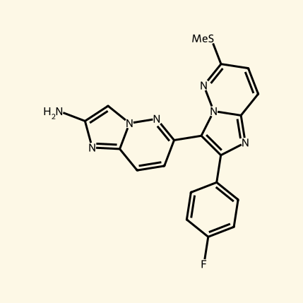 CSc1ccc2nc(-c3ccc(F)cc3)c(-c3ccc4nc(N)cn4n3)n2n1